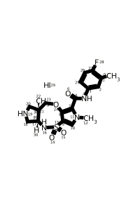 Cc1cc(NC(=O)c2c3c(cn2C)S(=O)(=O)N[C@H]2CNC[C@@]2(C)CO3)ccc1F.I